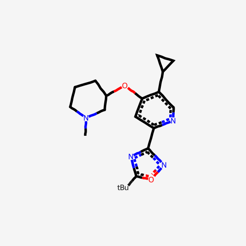 CN1CCCC(Oc2cc(-c3noc(C(C)(C)C)n3)ncc2C2CC2)C1